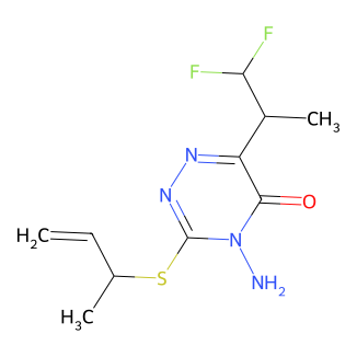 C=CC(C)Sc1nnc(C(C)C(F)F)c(=O)n1N